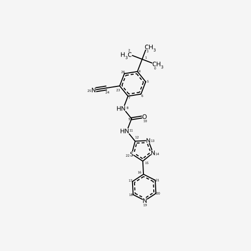 CC(C)(C)c1ccc(NC(=O)Nc2nnc(-c3ccncc3)s2)c(C#N)c1